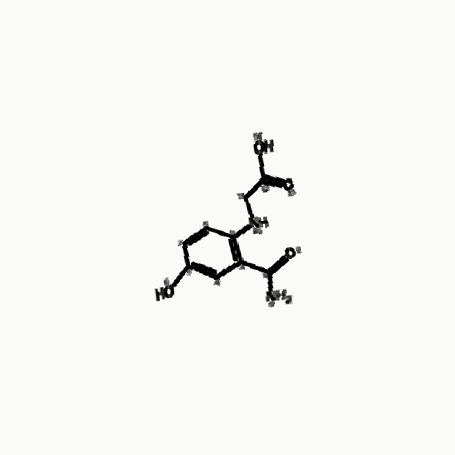 NC(=O)c1cc(O)ccc1NCC(=O)O